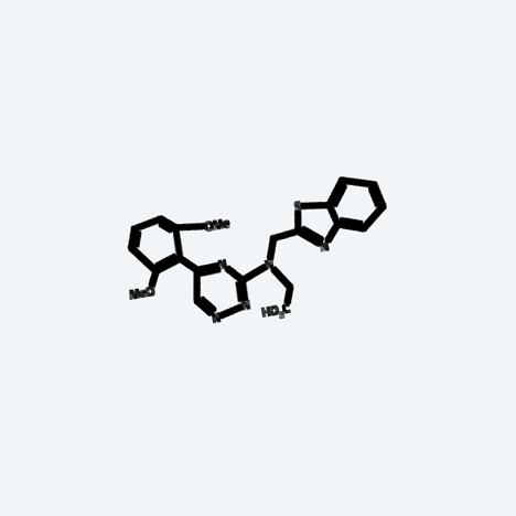 COc1cccc(OC)c1-c1cnnc(N(CC(=O)O)Cc2nc3ccccc3s2)n1